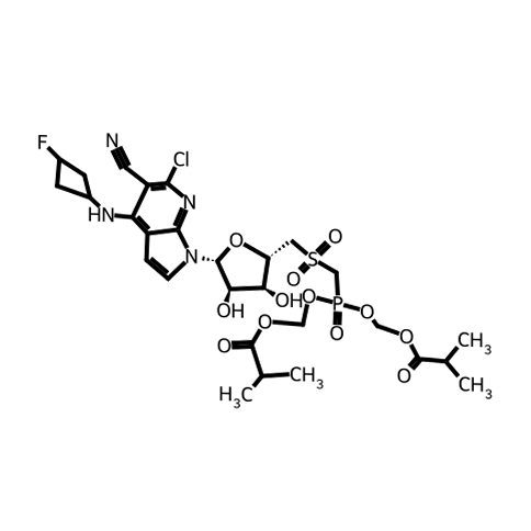 CC(C)C(=O)OCOP(=O)(CS(=O)(=O)C[C@H]1O[C@@H](n2ccc3c(NC4CC(F)C4)c(C#N)c(Cl)nc32)[C@H](O)[C@@H]1O)OCOC(=O)C(C)C